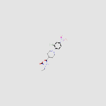 CCn1nc(C2CCN(c3ccc([N+](=O)[O-])cc3F)CC2)oc1=O